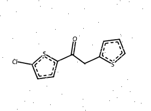 O=C(Cc1cccs1)c1ccc(Cl)s1